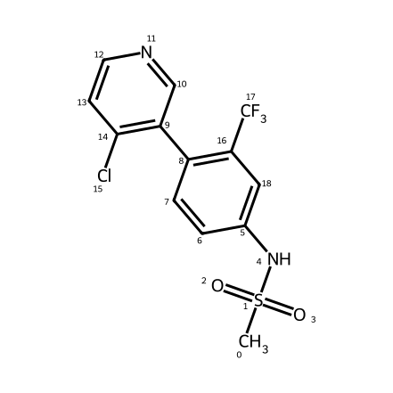 CS(=O)(=O)Nc1ccc(-c2cnccc2Cl)c(C(F)(F)F)c1